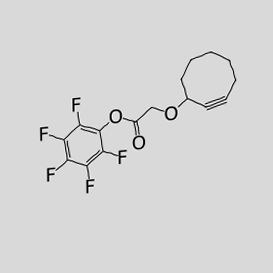 O=C(COC1C#CCCCCC1)Oc1c(F)c(F)c(F)c(F)c1F